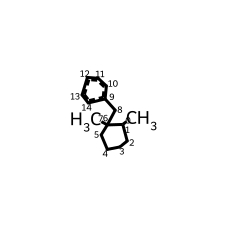 CC1CCCCC1(C)Cc1ccccc1